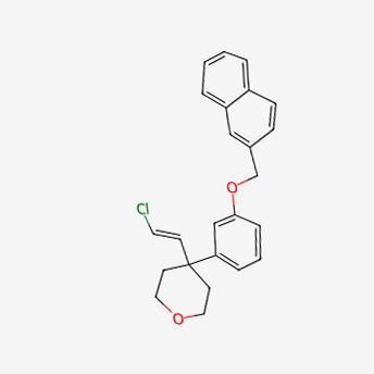 ClC=CC1(c2cccc(OCc3ccc4ccccc4c3)c2)CCOCC1